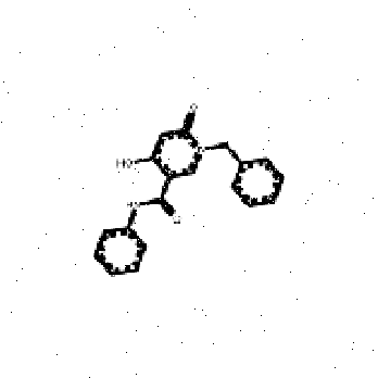 O=C(Nc1ccccc1)c1cn(Cc2ccccc2)c(=O)cc1O